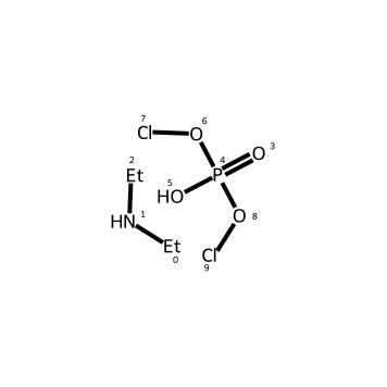 CCNCC.O=P(O)(OCl)OCl